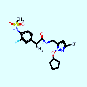 CC(C(=O)NCc1cc(C(F)(F)F)nn1OC1CCCC1)c1ccc(NS(C)(=O)=O)c(F)c1